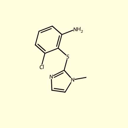 Cn1ccnc1Sc1c(N)cccc1Cl